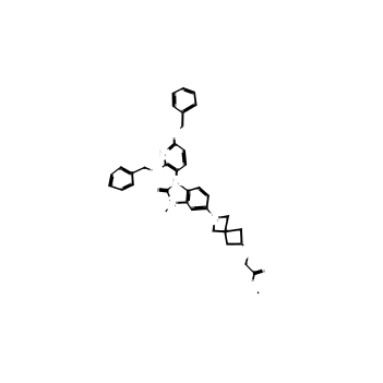 COC(=O)COC1CC2(C1)CN(c1ccc3c(c1)n(C)c(=O)n3-c1ccc(OCc3ccccc3)nc1OCc1ccccc1)C2